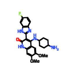 COc1cc2[nH]c(=O)c(-c3nc4ccc(F)cc4[nH]3)c(NC3CCC(N)CC3)c2cc1OC